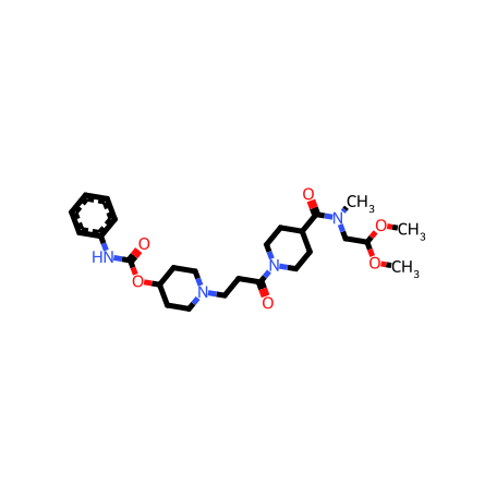 COC(CN(C)C(=O)C1CCN(C(=O)CCN2CCC(OC(=O)Nc3ccccc3)CC2)CC1)OC